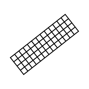 C1C2C3C4CC5C6C7C8C9C%10C%11C%12C%13C%14C%15C%16CC%17C%18C%19CC%20C%21C%22C%23C%24C%25C%26C%27C%28C%29C%30C1C21C32C45C63C74C85C96C%107C%118C%129C%13%10C%14%11C%15%12C%17%16C%18%13C%19%20C%21%14C%22%15C%23%16C%24%17C%25%18C%26%19C%27%20C%28%21C%29%22C%301C23C%224C%215C%206C%197C%188C%179C%16%10C%15%11C%13%14%12